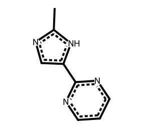 Cc1ncc(-c2ncccn2)[nH]1